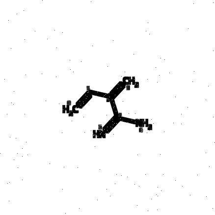 C=CC(=C)C(=N)N